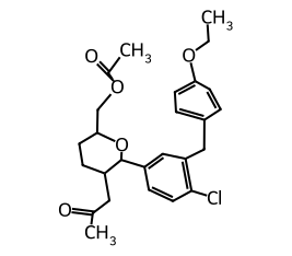 CCOc1ccc(Cc2cc(C3OC(COC(C)=O)CCC3CC(C)=O)ccc2Cl)cc1